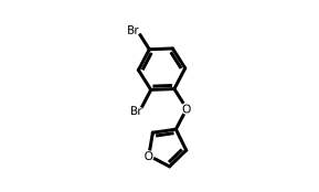 Brc1ccc(Oc2ccoc2)c(Br)c1